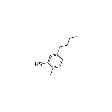 CCCCc1ccc(C)c(S)c1